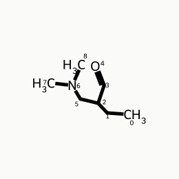 CCC([C]=O)CN(C)C